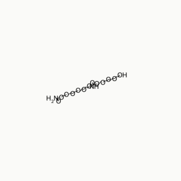 NC(=O)COCCOCCOCCOCCOCCONC(=O)COCCOCCOCCOCCO